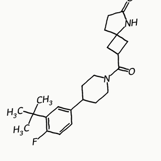 CC(C)(C)c1cc(C2CCN(C(=O)C3CC4(CCC(=O)N4)C3)CC2)ccc1F